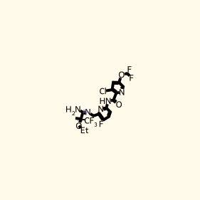 CCO[C@](C)(/C(N)=N\Cc1nc(NC(=O)c2ncc(OC(F)F)cc2Cl)ccc1F)C(F)(F)F